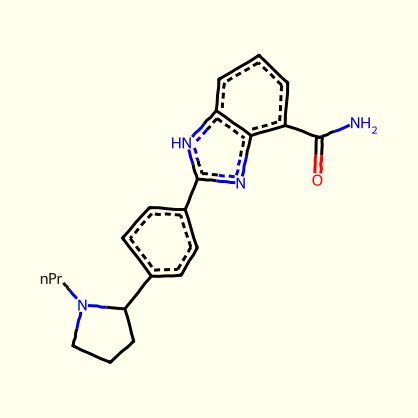 CCCN1CCCC1c1ccc(-c2nc3c(C(N)=O)cccc3[nH]2)cc1